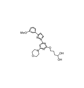 COc1cccc(-c2ccn(-c3cc(N4CCOCC4)nc(OCCCC(O)O)n3)n2)c1